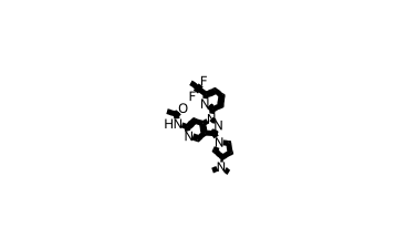 CC(=O)Nc1cc2c(cn1)c(N1CC[C@@H](N(C)C)C1)nn2-c1cccc(C(C)(F)F)n1